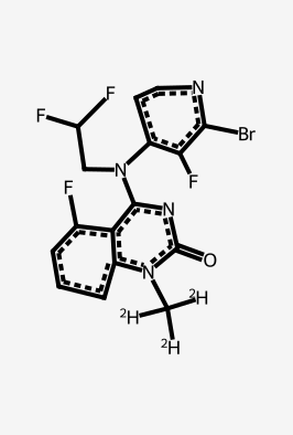 [2H]C([2H])([2H])n1c(=O)nc(N(CC(F)F)c2ccnc(Br)c2F)c2c(F)cccc21